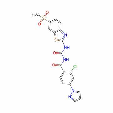 CS(=O)(=O)c1ccc2nc(NC(=O)NC(=O)c3ccc(-n4cccn4)cc3Cl)sc2c1